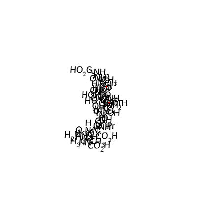 CC(C)C[C@H](NC(=O)[C@H](Cc1ccc(O)cc1)NC(=O)[C@H](CO)NC(=O)[C@H](CS)NC(=O)[C@@H](NC(=O)[C@H](CC(=O)O)NC(=O)[C@H](CO)NC(=O)[C@@H](NC(=O)[C@H](Cc1ccccc1)NC(=O)[C@@H](NC(=O)CNC(=O)[C@@H](N)CCC(=O)O)[C@@H](C)O)[C@@H](C)O)C(C)C)C(=O)N[C@@H](CCC(=O)O)C(=O)NCC(=O)N[C@@H](CCC(N)=O)C(=O)N[C@@H](C)C(=O)N[C@@H](C)C(=O)O